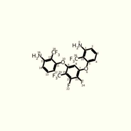 Nc1cccc(Oc2cc(Oc3cccc(N)c3C(F)(F)F)c(C(F)(F)F)c(F)c2F)c1C(F)(F)F